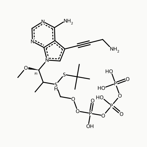 CO[C@H](C(C)[SH](COOP(=O)(O)OP(=O)(O)OP(=O)(O)O)SC(C)(C)C)n1cc(C#CCN)c2c(N)ncnc21